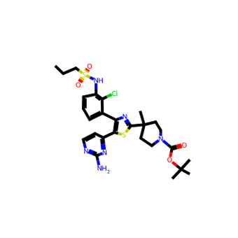 CCCS(=O)(=O)Nc1cccc(-c2nc(C3(C)CCN(C(=O)OC(C)(C)C)CC3)sc2-c2ccnc(N)n2)c1Cl